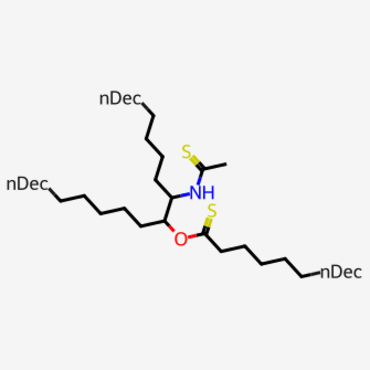 CCCCCCCCCCCCCCCC(=S)OC(CCCCCCCCCCCCCCC)C(CCCCCCCCCCCCCC)NC(C)=S